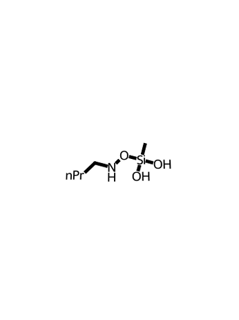 CCCCNO[Si](C)(O)O